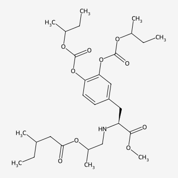 CCC(C)CC(=O)OC(C)CN[C@@H](Cc1ccc(OC(=O)OC(C)CC)c(OC(=O)OC(C)CC)c1)C(=O)OC